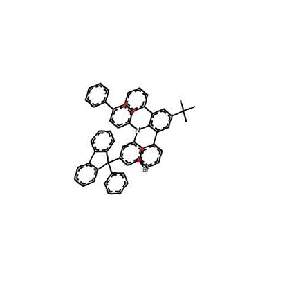 CC(C)(C)c1cc(-c2ccccc2)c(N(c2ccc(-c3ccccc3)cc2)c2cc(Br)cc(C3(c4ccccc4)c4ccccc4-c4ccccc43)c2)c(-c2ccccc2)c1